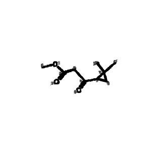 COC(=O)CC(=O)C1CC1(C)C